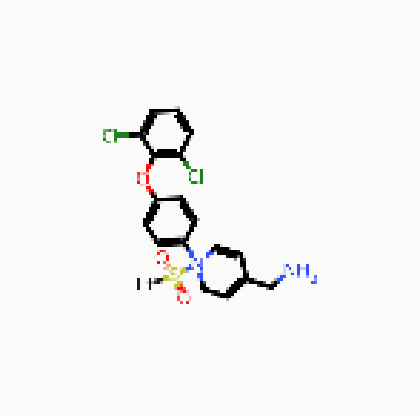 CCS(=O)(=O)[N+]1(c2ccc(Oc3c(Cl)cccc3Cl)cc2)C=CC(CN)=CC1